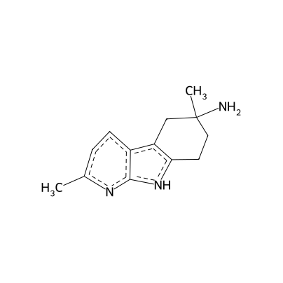 Cc1ccc2c3c([nH]c2n1)CCC(C)(N)C3